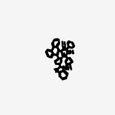 CN1c2ccccc2NC1c1ccc(-c2c(C3N=C(c4ccccc4)NC(c4ccccc4)N3)c3ccccc3c3ccccc23)cc1